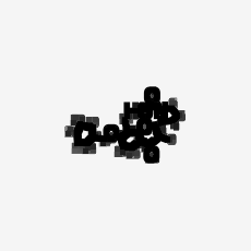 Cc1c([C@@H]2CCCN2C(=O)O)oc2c(C)c(OCc3ccccc3)ccc2c1=O